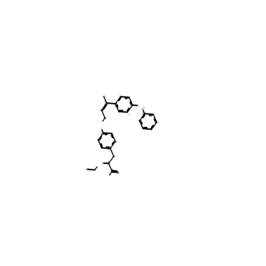 CCOC(Cc1ccc(OCC=C(C)c2ccc(Oc3ccccc3)cc2)cc1)C(=O)O